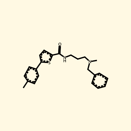 Cc1ccc(-c2ccc(C(=O)NCCCN(C)Cc3ccccc3)s2)cc1